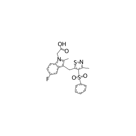 Cc1nsc(Cc2c(C)n(CC(=O)O)c3ccc(F)cc23)c1S(=O)(=O)c1ccccc1